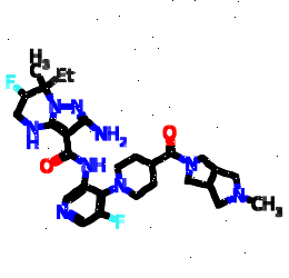 CCC1(C)C(F)CNc2c(C(=O)Nc3cncc(F)c3N3CCC(C(=O)N4CC5CN(C)CC5C4)CC3)c(N)nn21